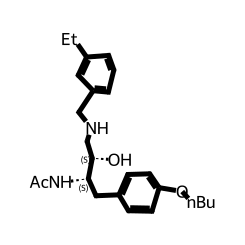 CCCCOc1ccc(C[C@H](NC(C)=O)[C@@H](O)CNCc2cccc(CC)c2)cc1